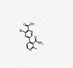 Cc1nccc(-c2cnc(C(=O)O)c(Br)n2)c1C(N)=O